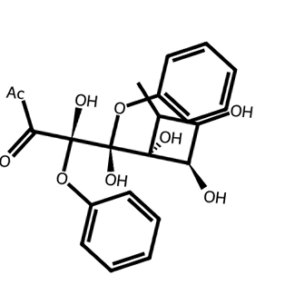 CC(=O)C(=O)[C@@](O)(Oc1ccccc1)[C@](O)(Oc1ccccc1)[C@@]1(O)C(C)C(O)[C@H]1O